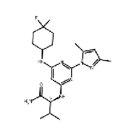 Cc1cc(C)n(-c2nc(NC3CCC(F)(F)CC3)cc(N[C@H](C(N)=O)C(C)C)n2)n1